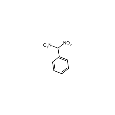 O=[N+]([O-])[C](c1ccccc1)[N+](=O)[O-]